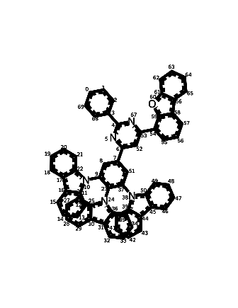 c1ccc(-c2nc(-c3cc(-n4c5ccccc5c5ccccc54)c(-n4c5ccccc5c5ccccc54)c(-n4c5ccccc5c5ccccc54)c3)cc(-c3cccc4c3oc3ccccc34)n2)cc1